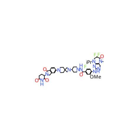 COc1cc(C(=O)NN2CCC(N3CC4(CCN(c5ccc6c(c5)CN(C5CCC(=O)NC5=O)C6=O)CC4)C3)CC2)c(F)cc1Nc1ncc2c(n1)N(C(C)C)CC(F)(F)C(=O)N2C